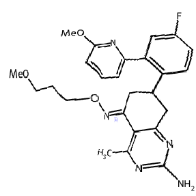 COCCCO/N=C1\CC(c2ccc(F)cc2-c2cccc(OC)n2)Cc2nc(N)nc(C)c21